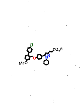 COc1ccc(-c2ccc(Cl)cc2)c(COc2ccc(-c3cc(/C=C/C(=O)O)nn3C3CCCCC3)cc2)c1